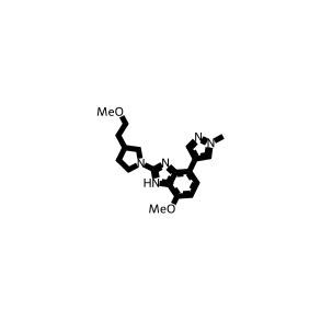 COCCC1CCN(c2nc3c(-c4cnn(C)c4)ccc(OC)c3[nH]2)C1